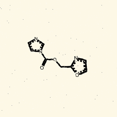 O=C(OCc1ncco1)n1ccnc1